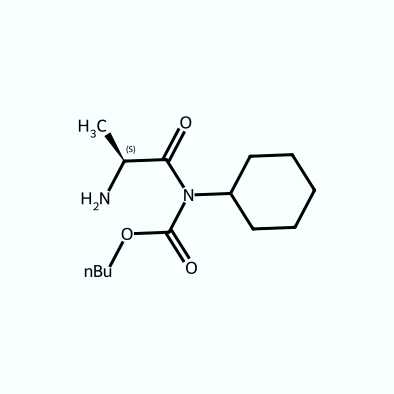 CCCCOC(=O)N(C(=O)[C@H](C)N)C1CCCCC1